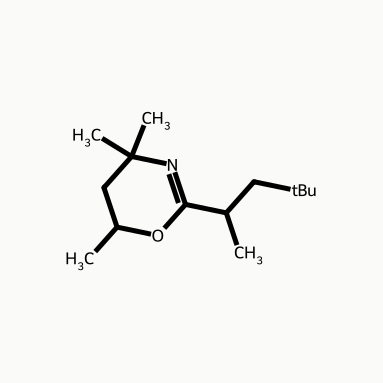 CC1CC(C)(C)N=C(C(C)CC(C)(C)C)O1